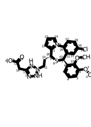 COc1cccc([C@H]2S[C@H](CCN3NN=C(CC(=O)O)N3)c3cccn3-c3ccc(Cl)cc32)c1OC